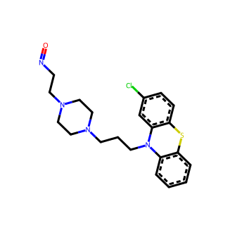 O=NCCN1CCN(CCCN2c3ccccc3Sc3ccc(Cl)cc32)CC1